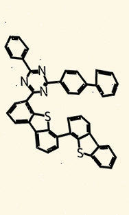 c1ccc(-c2ccc(-c3nc(-c4ccccc4)nc(-c4cccc5c4sc4c(-c6cccc7c6sc6ccccc67)cccc45)n3)cc2)cc1